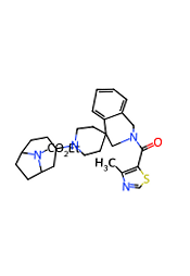 CCOC(=O)N1C2CCC(N3CCC4(CC3)CN(C(=O)c3scnc3C)Cc3ccccc34)CC1CC2